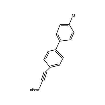 CCCCCC#Cc1ccc(-c2ccc(Cl)cc2)cc1